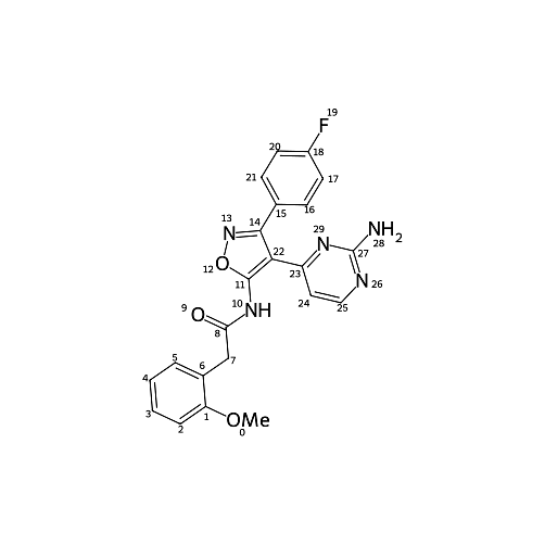 COc1ccccc1CC(=O)Nc1onc(-c2ccc(F)cc2)c1-c1ccnc(N)n1